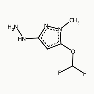 Cn1nc(NN)cc1OC(F)F